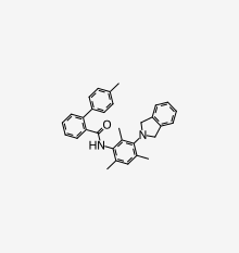 Cc1ccc(-c2ccccc2C(=O)Nc2c(C)cc(C)c(N3Cc4ccccc4C3)c2C)cc1